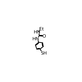 CCNC(=O)Nc1ccc(S)cc1